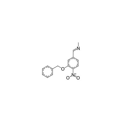 C/N=C/c1ccc([N+](=O)[O-])c(OCc2ccccc2)c1